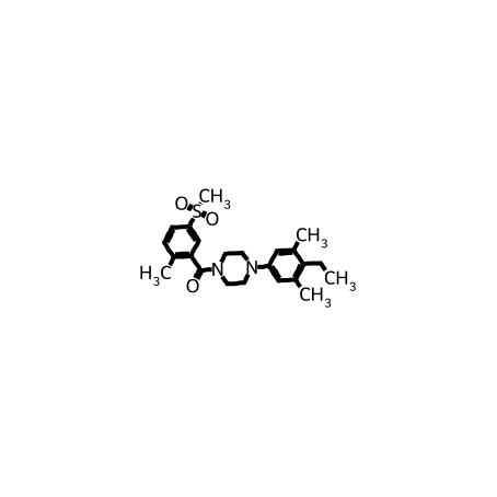 CCc1c(C)cc(N2CCN(C(=O)c3cc(S(C)(=O)=O)ccc3C)CC2)cc1C